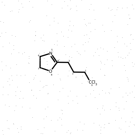 ClC(Cl)(Cl)CCCC1=NCCO1